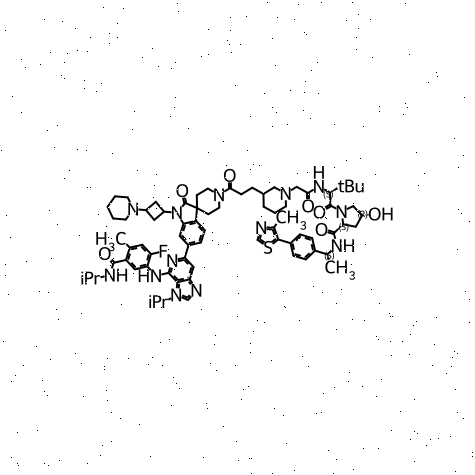 Cc1cc(F)c(Nc2nc(-c3ccc4c(c3)N(C3CC(N5CCCCC5)C3)C(=O)C43CCN(C(=O)CCC4CCCN(CC(=O)N[C@H](C(=O)N5C[C@H](O)C[C@H]5C(=O)N[C@@H](C)c5ccc(-c6scnc6C)cc5)C(C)(C)C)C4)CC3)cc3ncn(C(C)C)c23)cc1C(=O)NC(C)C